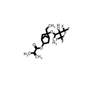 C=C(C)C(=O)OC1CC2CC1CC2(CC)OC(C)C(O)(C(F)(F)F)C(F)(F)F